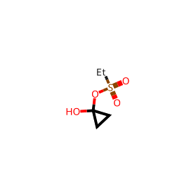 CCS(=O)(=O)OC1(O)CC1